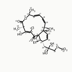 CC[C@H]1[C@@H]2C(=O)/C(Cl)=C(\O)[C@H](C)C(=O)O[C@@H](C)/C=C/C=C\[C@@H](C)[C@@H]2C=C[C@@H]1C[C@](O)(S)CO[N+](=O)[O-]